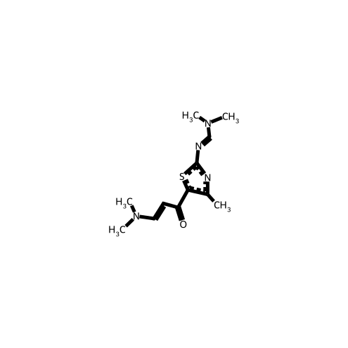 Cc1nc(N=CN(C)C)sc1C(=O)/C=C/N(C)C